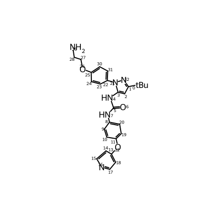 CC(C)(C)c1cc(NC(=O)Nc2ccc(Oc3ccncc3)cc2)n(-c2ccc(OCCN)cc2)n1